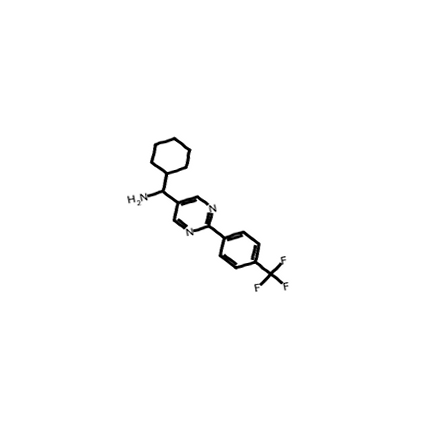 NC(c1cnc(-c2ccc(C(F)(F)F)cc2)nc1)C1CCCCC1